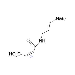 CNCCCNC(=O)/C=C\C(=O)O